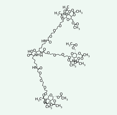 CC(=O)N[C@H]1[C@H](OCCOCCOCCOCC(=O)NCCCCC(NC(=O)C(CCCCNC(=O)COCCOCCOCCO[C@@H]2O[C@H](COC(C)=O)[C@H](OC(C)=O)[C@H](OC(C)=O)[C@H]2NC(C)=O)NC(=O)COCCOCCOCCO[C@@H]2O[C@H](COC(C)=O)[C@H](OC(C)=O)[C@H](OC(C)=O)[C@H]2NC(C)=O)C(=O)O)O[C@H](COC(C)=O)[C@H](OC(C)=O)[C@@H]1OC(C)=O